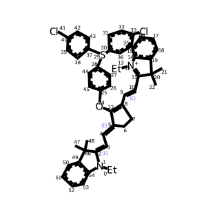 CCN1/C(=C/C=C2\CCC(/C=C/C3=[N+](CC)c4ccccc4C3(C)C)=C2Oc2ccc([S+](c3ccc(Cl)cc3)c3ccc(Cl)cc3)cc2)C(C)(C)c2ccccc21